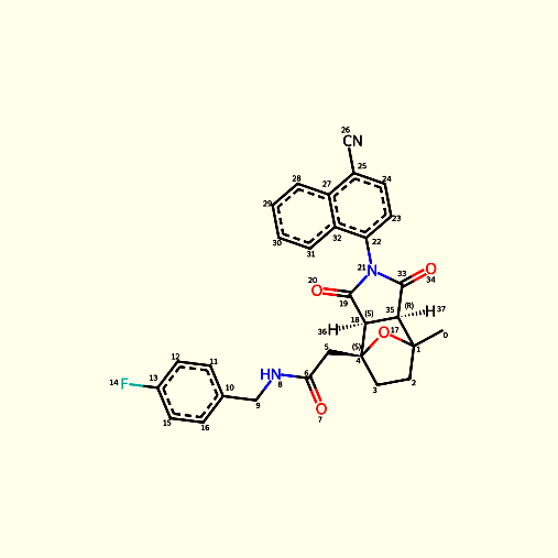 CC12CC[C@@](CC(=O)NCc3ccc(F)cc3)(O1)[C@H]1C(=O)N(c3ccc(C#N)c4ccccc34)C(=O)[C@H]12